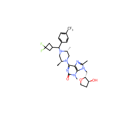 Cc1nc2c(N3C[C@@H](C)N(C(c4ccc(C(F)(F)F)cc4)C4CC(F)(F)C4)C[C@@H]3C)nc(=O)n(C)c2n1C[C@H]1OCC[C@@H]1O